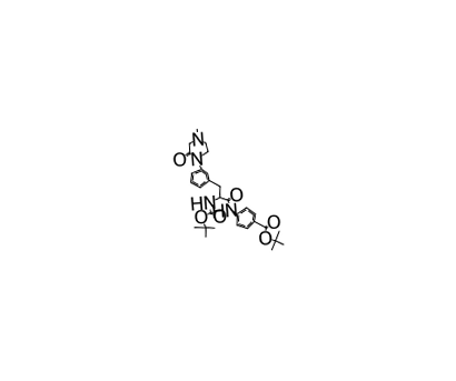 CN1CCN(c2cccc(CC(NC(=O)OC(C)(C)C)C(=O)Nc3ccc(C(=O)OC(C)(C)C)cc3)c2)C(=O)C1